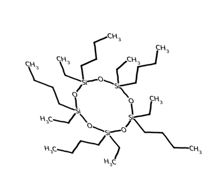 CCCC[Si]1(CC)O[Si](CC)(CCCC)O[Si](CC)(CCCC)O[Si](CC)(CCCC)O[Si](CC)(CCCC)O1